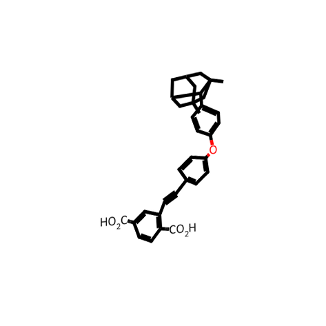 CC12CC3CC(C1)C(c1ccc(Oc4ccc(C#Cc5cc(C(=O)O)ccc5C(=O)O)cc4)cc1)C(C)(C3)C2